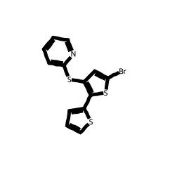 Brc1cc(Sc2ccccn2)c(-c2cccs2)s1